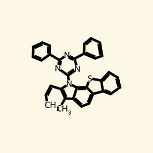 C/C=C\c1c(C)c2ccc3c4ccccc4sc3c2n1-c1nc(-c2ccccc2)nc(-c2ccccc2)n1